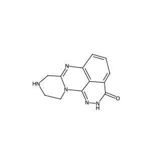 O=c1[nH]nc2c3c(cccc13)N=C1CNCCN12